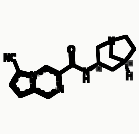 N#Cc1ccc2cnc(C(=O)N[C@@H]3C[C@@H]4CCN(C4)C3)cn12